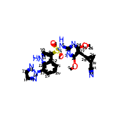 COc1nc(NS(=O)(=O)c2c[nH]c3c(-n4nccn4)cccc23)nc(OC)c1C1CC1C#N